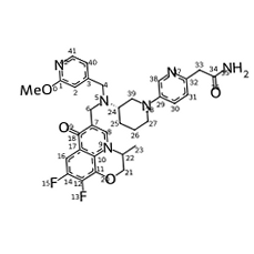 COc1cc(CN(Cc2cn3c4c(c(F)c(F)cc4c2=O)OCC3C)[C@H]2CCCN(c3ccc(CC(N)=O)nc3)C2)ccn1